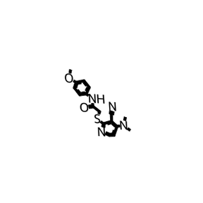 COc1ccc(NC(=O)CSc2nccc(N(C)C)c2C#N)cc1